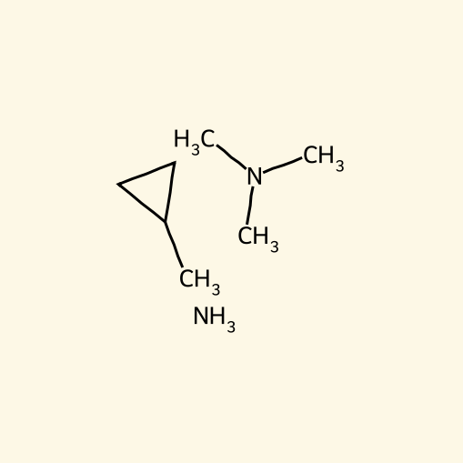 CC1CC1.CN(C)C.N